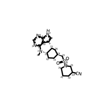 CN(c1ncnc2[nH]ccc12)[C@H]1CC[C@H](CS(=O)(=O)N2CCCC(C#N)C2)CC1